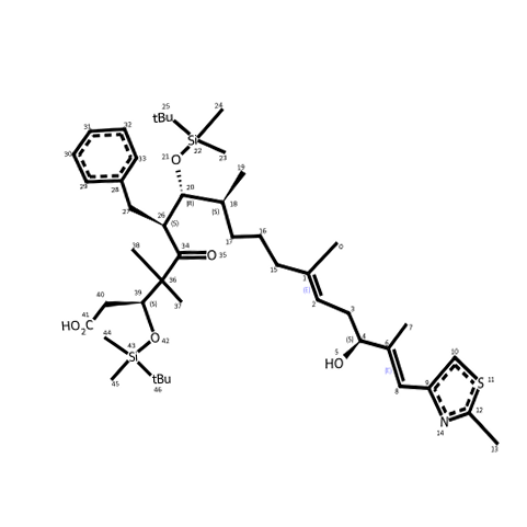 C/C(=C\C[C@H](O)/C(C)=C/c1csc(C)n1)CCC[C@H](C)[C@@H](O[Si](C)(C)C(C)(C)C)[C@H](Cc1ccccc1)C(=O)C(C)(C)[C@H](CC(=O)O)O[Si](C)(C)C(C)(C)C